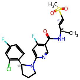 C[C@H](/C=C/S(C)(=O)=O)NC(=O)c1cnc(N2CCC[C@H]2c2ccc(F)cc2Cl)cc1F